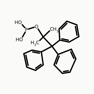 CC(C)(OP(O)O)C(c1ccccc1)(c1ccccc1)c1ccccc1